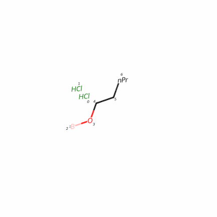 Cl.Cl.[B]OCCCCC